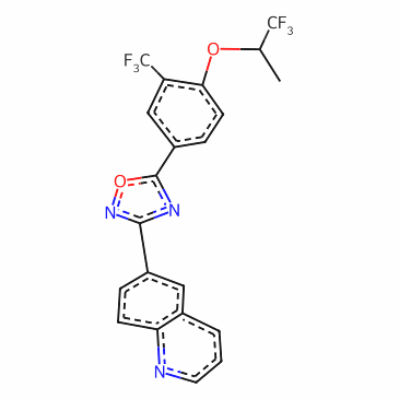 CC(Oc1ccc(-c2nc(-c3ccc4ncccc4c3)no2)cc1C(F)(F)F)C(F)(F)F